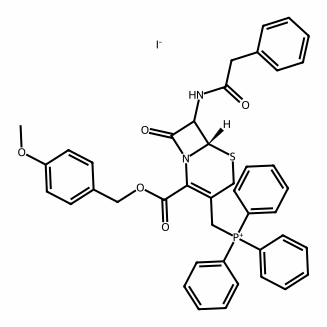 COc1ccc(COC(=O)C2=C(C[P+](c3ccccc3)(c3ccccc3)c3ccccc3)CS[C@H]3C(NC(=O)Cc4ccccc4)C(=O)N23)cc1.[I-]